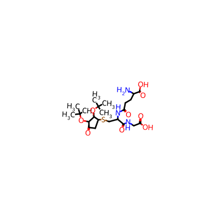 CC(C)(C)OC1C(=O)CC(SCC(NC(=O)CCC(N)C(=O)O)C(=O)NCC(=O)O)C1OC(C)(C)C